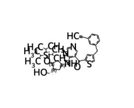 C#Cc1cccc(Cc2csc(C(=O)c3cncnc3N[C@@H]3C[C@H](CO)[C@@H](O[Si](C(C)C)(C(C)C)C(C)C)C3)c2)c1